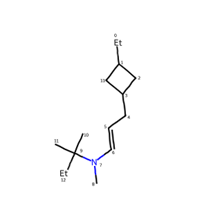 CCC1CC(CC=CN(C)C(C)(C)CC)C1